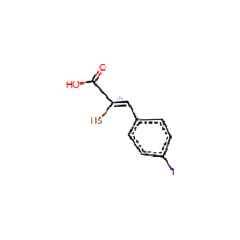 O=C(O)/C(S)=C/c1ccc(I)cc1